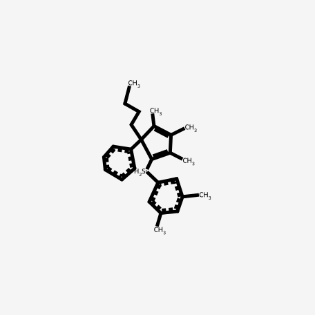 CCCCC1(c2ccccc2)C(C)=C(C)C(C)=C1[SiH2]c1cc(C)cc(C)c1